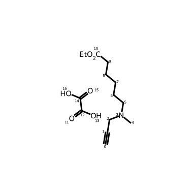 C#CCN(C)CCCCCC(=O)OCC.O=C(O)C(=O)O